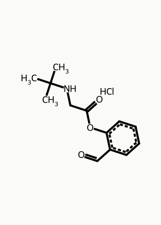 CC(C)(C)NCC(=O)Oc1ccccc1C=O.Cl